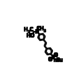 CCCCS(=O)(=O)c1ccc(C=Cc2ccc(N(C)C(C)O)cc2)cc1